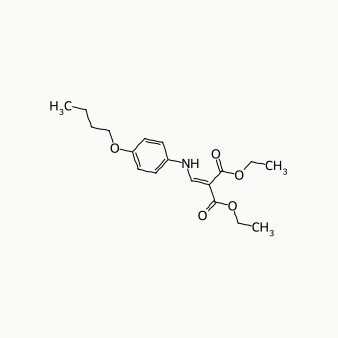 CCCCOc1ccc(NC=C(C(=O)OCC)C(=O)OCC)cc1